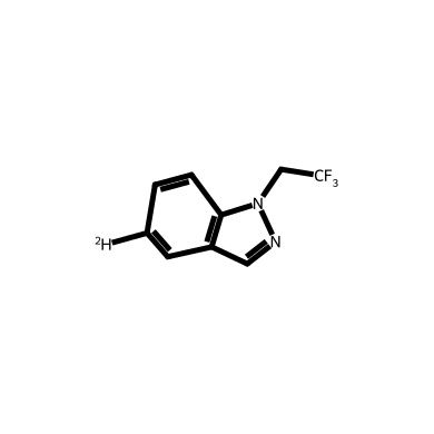 [2H]c1ccc2c(cnn2CC(F)(F)F)c1